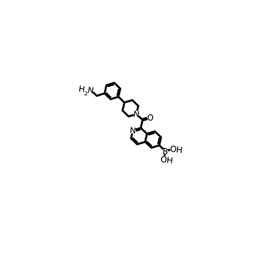 NCc1cccc(C2CCN(C(=O)c3nccc4cc(B(O)O)ccc34)CC2)c1